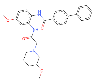 COc1ccc(NC(=O)c2ccc(-c3ccccc3)cc2)c(NC(=O)CN2CCCC(OC)C2)c1